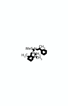 CSC(=NCC(C)c1ccccc1)SCc1c(C)cccc1N(C)N